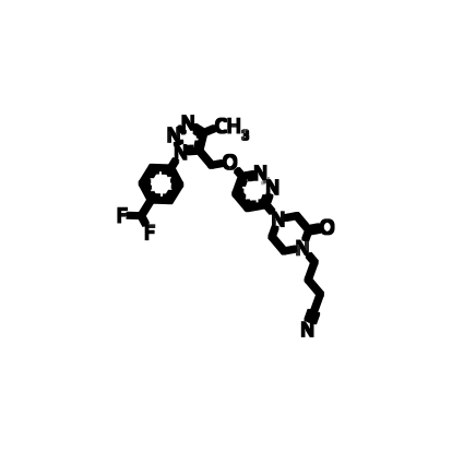 Cc1nnn(-c2ccc(C(F)F)cc2)c1COc1ccc(N2CCN(CCCC#N)C(=O)C2)nn1